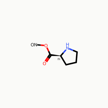 O=NOC(=O)[C@@H]1CCCN1